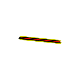 S=S=S=S=S=S=S=S=S=S=S=S=S=S=S=S=S=S=S=S=S=S=S=S=S=S=S=S=S=S=S=S=S=S=S=S=S=S=S=S=S=S=S=S=S=S=S=S=S=S=S=S=S=S=S=S=S=S=S=S=S=S=S=S=S=S=S=S=S=S=S=S=S=S=S=S=S=S=S=S=S=S=S=S=S=S=S=S=S=S=S=S=S=S=S=S=S=S=S=S=S=S=S=S=S=S=S=S=S=S=S=S=S=S=S=S=S=S=S=S=S=S=S=S=S=S=S=S=S=S=S=S=S=S=S=S=S=S=S=S=S=S=S